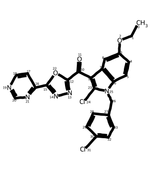 CCOc1ccc2c(c1)c(C(=O)c1nnc(-c3ccncn3)o1)c(Cl)n2Cc1ccc(Cl)cc1